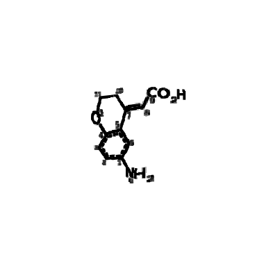 Nc1ccc2c(c1)/C(=C/C(=O)O)CCO2